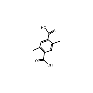 Cc1cc(C(=O)O)c(C)cc1C(=O)O